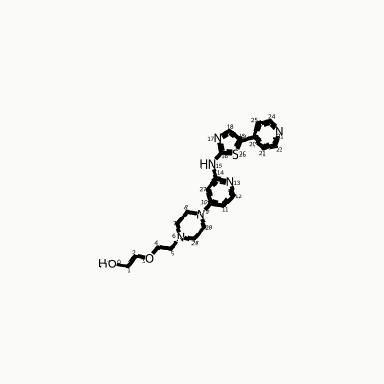 OCCOCCN1CCN(c2ccnc(Nc3ncc(-c4ccncc4)s3)c2)CC1